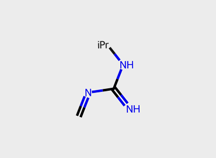 C=NC(=N)NC(C)C